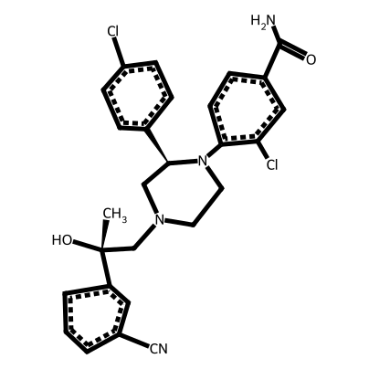 C[C@@](O)(CN1CCN(c2ccc(C(N)=O)cc2Cl)[C@H](c2ccc(Cl)cc2)C1)c1cccc(C#N)c1